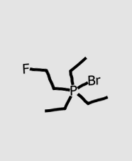 CCP(Br)(CC)(CC)CCF